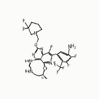 C[C@H]1CCNCNc2nc(OCN3CCCC(F)(F)C3)nc3c(F)c(-c4cc(N)c(F)c(F)c4C(F)(F)F)nc(c23)O1